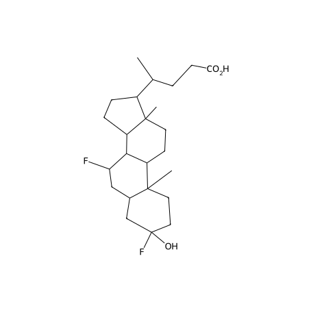 CC(CCC(=O)O)C1CCC2C3C(F)CC4CC(O)(F)CCC4(C)C3CCC12C